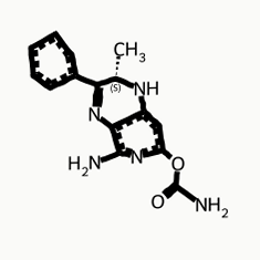 C[C@@H]1Nc2cc(OC(N)=O)nc(N)c2N=C1c1ccccc1